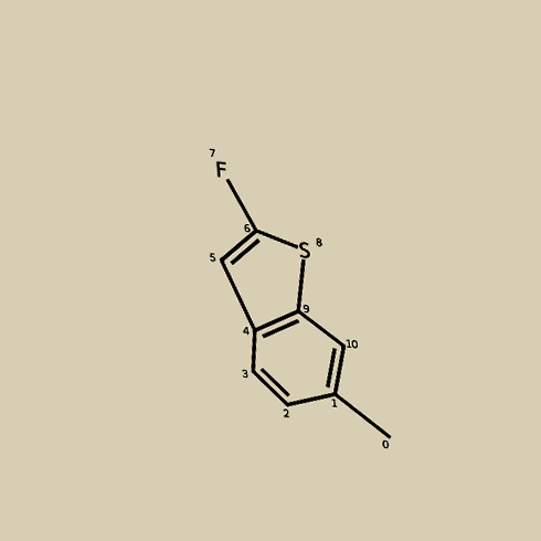 Cc1ccc2cc(F)sc2c1